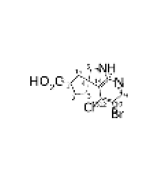 O=C(O)[C@H]1CC[C@@]2(CNc3ncc(Br)c(Cl)c32)C1